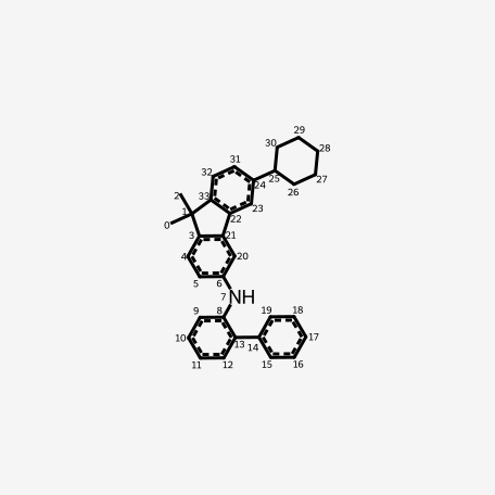 CC1(C)c2ccc(Nc3ccccc3-c3ccccc3)cc2-c2cc(C3CCCCC3)ccc21